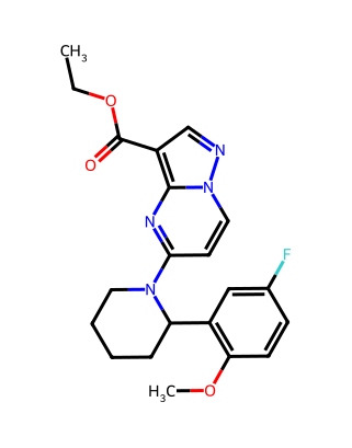 CCOC(=O)c1cnn2ccc(N3CCCCC3c3cc(F)ccc3OC)nc12